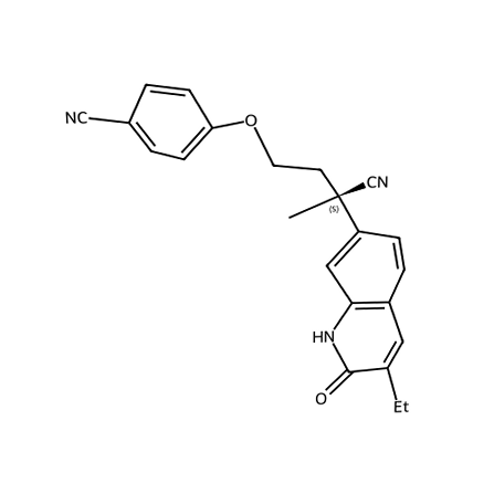 CCc1cc2ccc([C@@](C)(C#N)CCOc3ccc(C#N)cc3)cc2[nH]c1=O